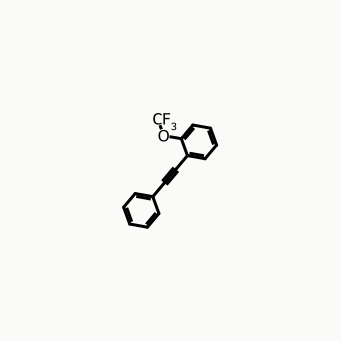 FC(F)(F)Oc1ccccc1C#Cc1ccccc1